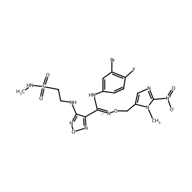 CNS(=O)(=O)CCNc1nonc1/C(=N/OCc1cnc([N+](=O)[O-])n1C)Nc1ccc(F)c(Br)c1